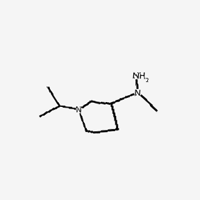 CC(C)N1CCC(N(C)N)C1